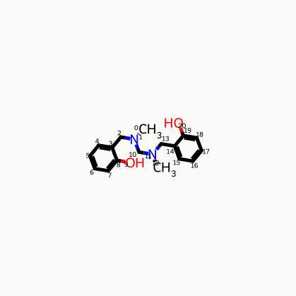 CN(Cc1ccccc1O)CN(C)Cc1ccccc1O